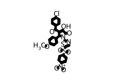 COc1ccc(C2C(C(=O)c3ccc(Cl)cc3)=C(O)C(=O)N2c2ncc(S(=O)(=O)c3ccc([N+](=O)[O-])cc3)s2)cc1